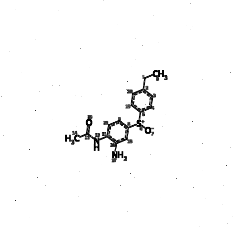 CCc1ccc([S+]([O-])c2ccc(NC(C)=O)c(N)c2)cc1